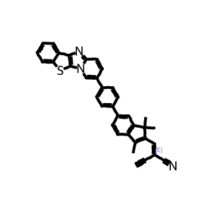 C#C/C(C#N)=C\C1=C(C)c2ccc(-c3ccc(-c4ccc5nc6c7ccccc7sc6n5c4)cc3)cc2C1(C)C